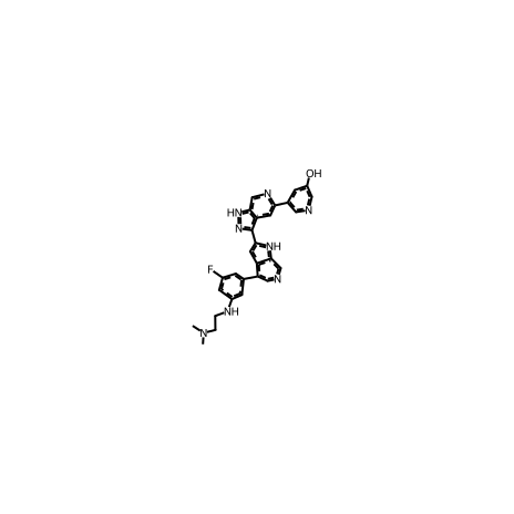 CN(C)CCNc1cc(F)cc(-c2cncc3[nH]c(-c4n[nH]c5cnc(-c6cncc(O)c6)cc45)cc23)c1